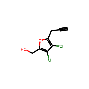 C#CCc1oc(CO)c(Cl)c1Cl